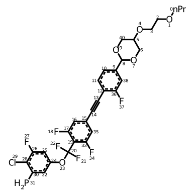 CCCOCCOC1COC(c2ccc(C#Cc3cc(F)c(C(F)(F)Oc4cc(F)c(Cl)c(P)c4)c(F)c3)c(F)c2)OC1